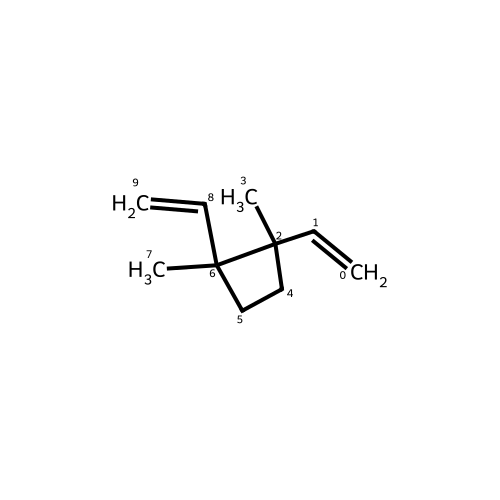 C=CC1(C)CCC1(C)C=C